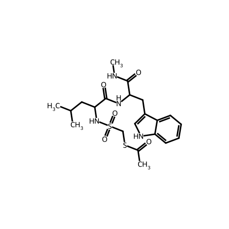 CNC(=O)C(Cc1c[nH]c2ccccc12)NC(=O)C(CC(C)C)NS(=O)(=O)CSC(C)=O